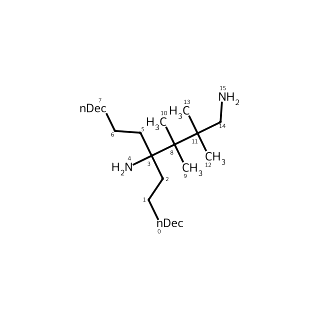 CCCCCCCCCCCCC(N)(CCCCCCCCCCCC)C(C)(C)C(C)(C)CN